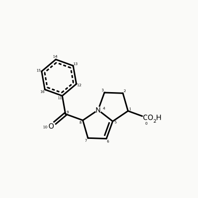 O=C(O)C1CCN2C1=CCC2C(=O)c1ccccc1